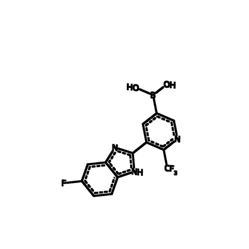 OB(O)c1cnc(C(F)(F)F)c(-c2nc3cc(F)ccc3[nH]2)c1